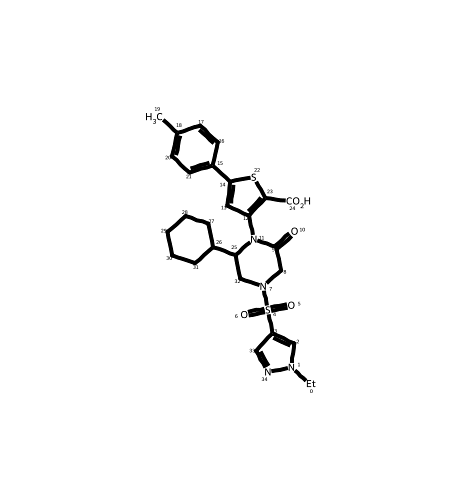 CCn1cc(S(=O)(=O)N2CC(=O)N(c3cc(-c4ccc(C)cc4)sc3C(=O)O)C(C3CCCCC3)C2)cn1